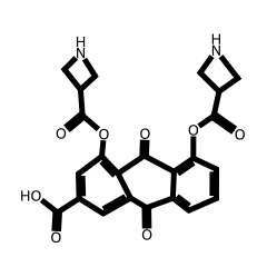 O=C(O)c1cc(OC(=O)C2CNC2)c2c(c1)C(=O)c1cccc(OC(=O)C3CNC3)c1C2=O